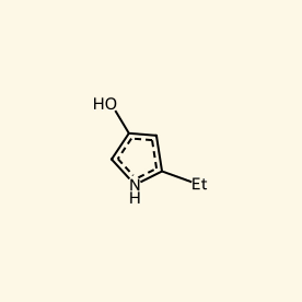 CCc1cc(O)c[nH]1